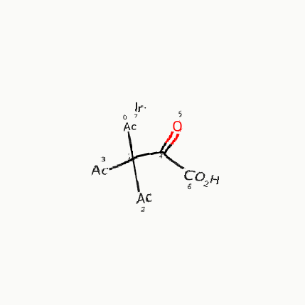 CC(=O)C(C(C)=O)(C(C)=O)C(=O)C(=O)O.[Ir]